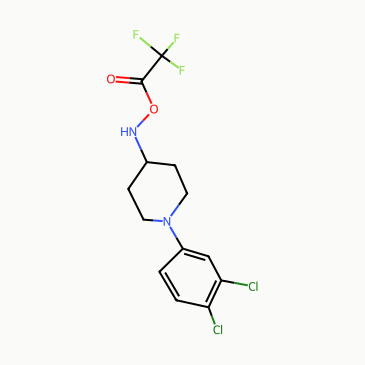 O=C(ONC1CCN(c2ccc(Cl)c(Cl)c2)CC1)C(F)(F)F